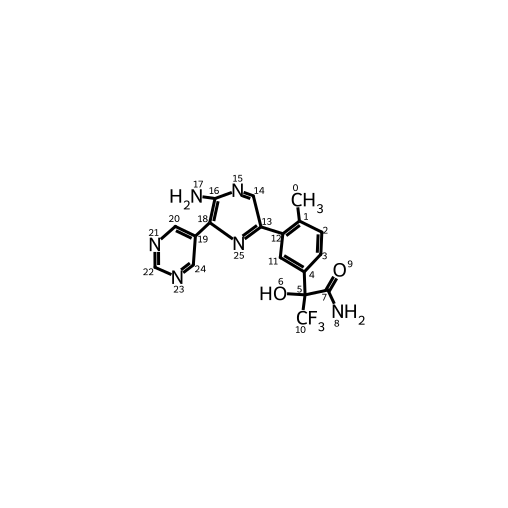 Cc1ccc(C(O)(C(N)=O)C(F)(F)F)cc1-c1cnc(N)c(-c2cncnc2)n1